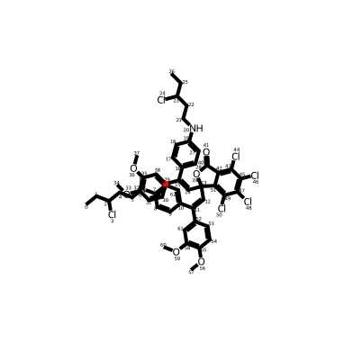 CCC(Cl)CCNc1ccc(C(=CC2(C=C(c3ccc(NCCC(Cl)CC)cc3)c3ccc(OC)c(OC)c3)OC(=O)c3c(Cl)c(Cl)c(Cl)c(Cl)c32)c2ccc(OC)c(OC)c2)cc1